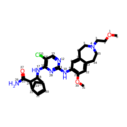 COCCN1CCc2cc(Nc3ncc(Cl)c(NC4C5C=CC(C5)C4C(N)=O)n3)c(OC)cc2CC1